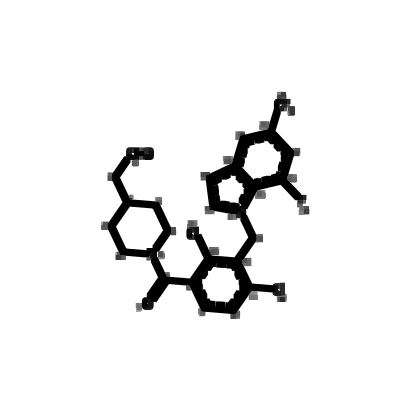 O=CCC1CCN(C(=O)c2ccc(Cl)c(Cn3ccc4cc(C(F)(F)F)cc(F)c43)c2Cl)CC1